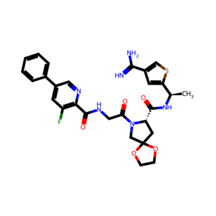 C[C@@H](NC(=O)[C@@H]1CC2(CN1C(=O)CNC(=O)c1ncc(-c3ccccc3)cc1F)OCCO2)c1cc(C(=N)N)cs1